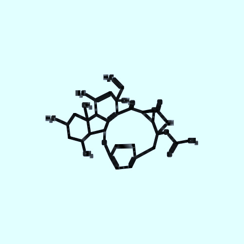 C=CC1(C)C=C(C)C2C3=C1C(=O)C14OC1C(OC(C)=O)(Cc1ccc(cc1)OC3C1C(C)CC(C)CC21C)NC4=O